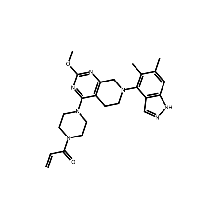 C=CC(=O)N1CCN(c2nc(OC)nc3c2CCN(c2c(C)c(C)cc4[nH]ncc24)C3)CC1